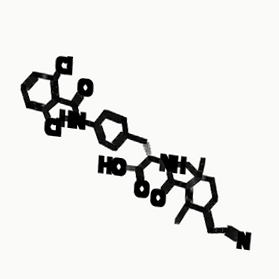 CC1=C(C(=O)N[C@@H](Cc2ccc(NC(=O)c3c(Cl)cccc3Cl)cc2)C(=O)O)C(C)(C)CC/C1=C\C#N